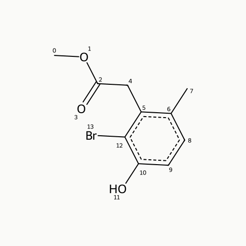 COC(=O)Cc1c(C)ccc(O)c1Br